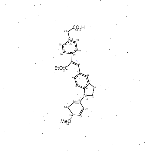 CCOC(=O)/C(=C\c1ccc2c(c1)CCN2C1=CCC(OC)C=C1)c1cc[n+](CC(=O)O)cc1